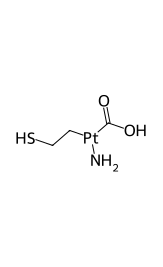 [NH2][Pt]([CH2]CS)[C](=O)O